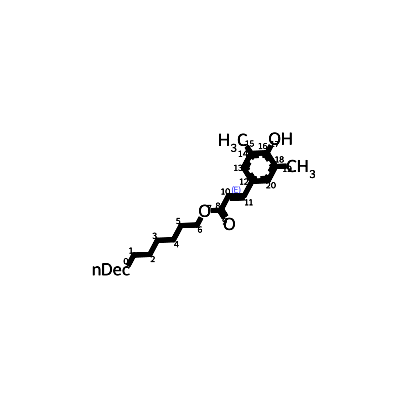 CCCCCCCCCCCCCCCCOC(=O)/C=C/c1cc(C)c(O)c(C)c1